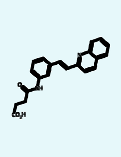 O=C(O)CCC(=O)Nc1cccc(C=Cc2ccc3ccccc3n2)c1